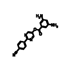 N#Cc1ccc(-c2ncc(OC(=O)c3cc(N)cc(N)c3)cn2)cc1